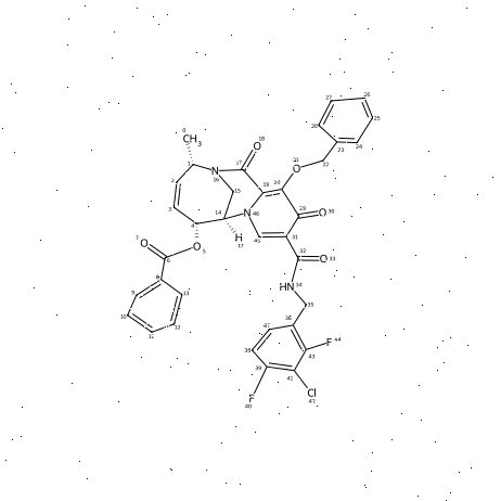 C[C@H]1C=C[C@@H](OC(=O)c2ccccc2)[C@H]2CN1C(=O)c1c(OCc3ccccc3)c(=O)c(C(=O)NCc3ccc(F)c(Cl)c3F)cn12